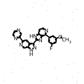 COc1cc(F)cc(-c2nccc3[nH]c(-c4n[nH]c5cnc(-c6cnccn6)cc45)nc23)c1